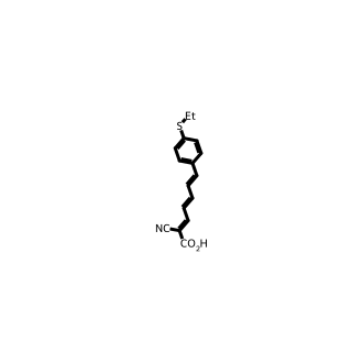 CCSc1ccc(/C=C/C=C/C=C(\C#N)C(=O)O)cc1